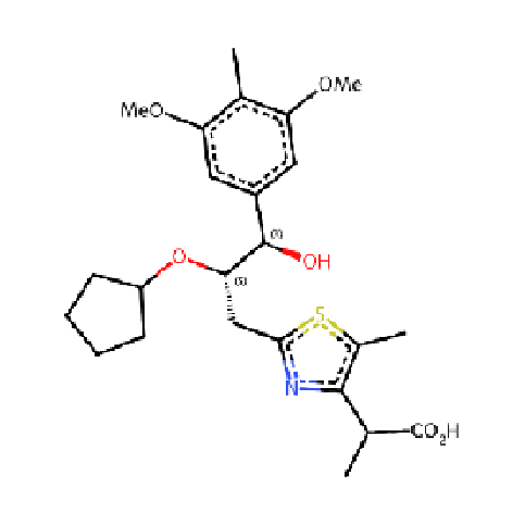 COc1cc([C@@H](O)[C@H](Cc2nc(C(C)C(=O)O)c(C)s2)OC2CCCC2)cc(OC)c1C